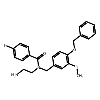 COc1cc(CN(CCN)C(=O)c2ccc(F)cc2)ccc1OCc1ccccc1